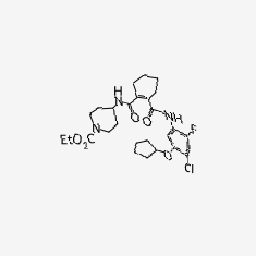 CCOC(=O)N1CCC(NC(=O)C2=C(C(=O)Nc3cc(OC4CCCC4)c(Cl)cc3F)CCCC2)CC1